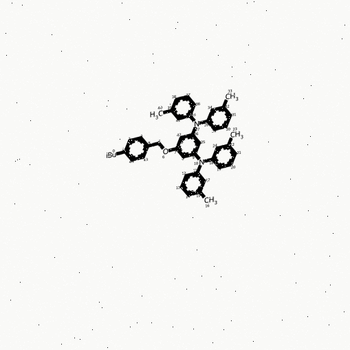 CCC(C)c1ccc(COc2cc(N(c3cccc(C)c3)c3cccc(C)c3)cc(N(c3cccc(C)c3)c3cccc(C)c3)c2)cc1